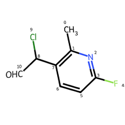 Cc1nc(F)ccc1C(Cl)C=O